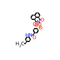 C=Cc1ccc(NC(=O)c2ccc(S(=O)(=O)ON3C(=O)c4cccc5cccc(c45)C3=O)cc2)cc1